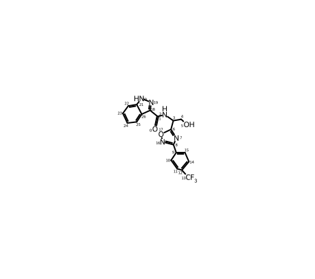 O=C(NC(CO)c1nc(-c2ccc(C(F)(F)F)cc2)no1)c1n[nH]c2ccccc12